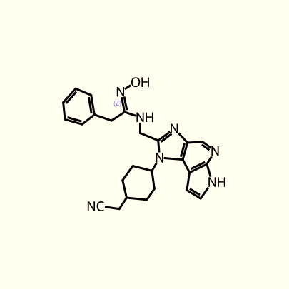 N#CCC1CCC(n2c(CN/C(Cc3ccccc3)=N\O)nc3cnc4[nH]ccc4c32)CC1